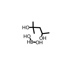 CC(O)CC(C)(C)O.OBO